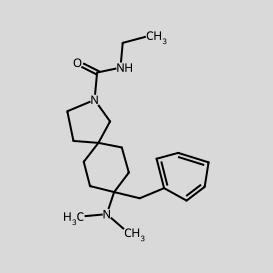 CCNC(=O)N1CCC2(CCC(Cc3ccccc3)(N(C)C)CC2)C1